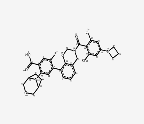 O=C(O)c1cc(F)c(-c2cccc3c2OCN(C(=O)c2c(Cl)cc(N4CCC4)cc2Cl)C3)cc1N1C2CCC1COC2